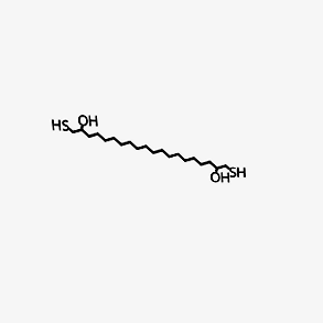 OC(CS)CCCCCCCCCCCCCCCCC(O)CS